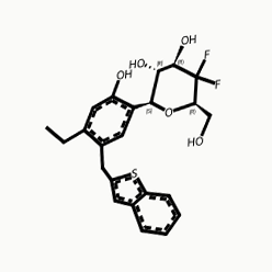 CCc1cc(O)c([C@@H]2O[C@H](CO)C(F)(F)[C@H](O)[C@H]2O)cc1Cc1cc2ccccc2s1